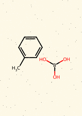 Cc1ccccc1.OB(O)O